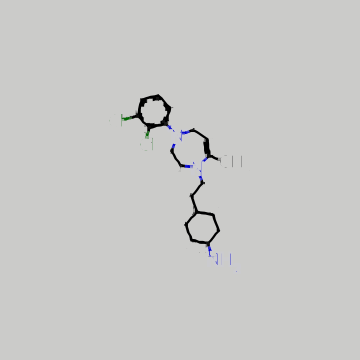 CC1=CCN(c2cccc(Cl)c2Cl)CCN1CCC1CCC(N)CC1